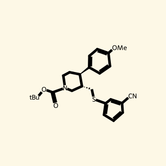 COc1ccc([C@@H]2CCN(C(=O)OC(C)(C)C)C[C@H]2CSc2cccc(C#N)c2)cc1